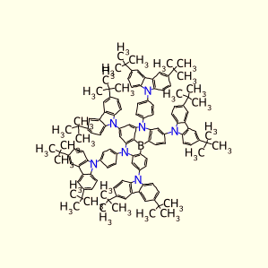 CC(C)(C)c1ccc2c(c1)c1cc(C(C)(C)C)ccc1n2-c1ccc(N2c3cc(-n4c5ccc(C(C)(C)C)cc5c5cc(C(C)(C)C)ccc54)ccc3B3c4ccc(-n5c6ccc(C(C)(C)C)cc6c6cc(C(C)(C)C)ccc65)cc4N(c4ccc(-n5c6ccc(C(C)(C)C)cc6c6cc(C(C)(C)C)ccc65)cc4)c4cc(-n5c6ccc(C(C)(C)C)cc6c6cc(C(C)(C)C)ccc65)cc2c43)cc1